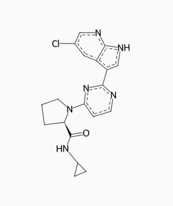 O=C(NC1CC1)[C@H]1CCCN1c1ccnc(-c2c[nH]c3ncc(Cl)cc23)n1